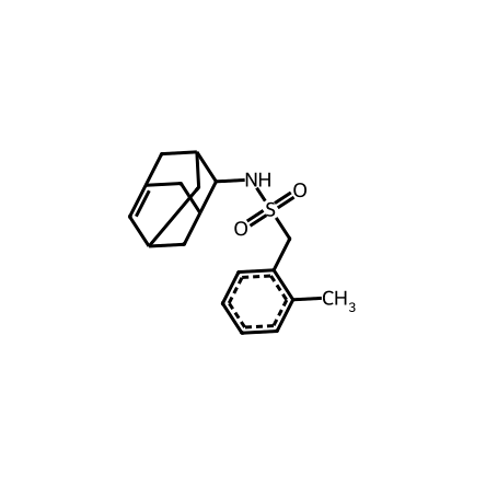 Cc1ccccc1CS(=O)(=O)NC1C2CC3=CC(C2)CC1C3